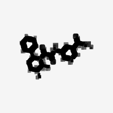 C[C@@H]1CC[C@@H](c2ccccc2)N(C(=O)C(=O)Nc2cncc(C(N)=O)c2)[C@H]1C